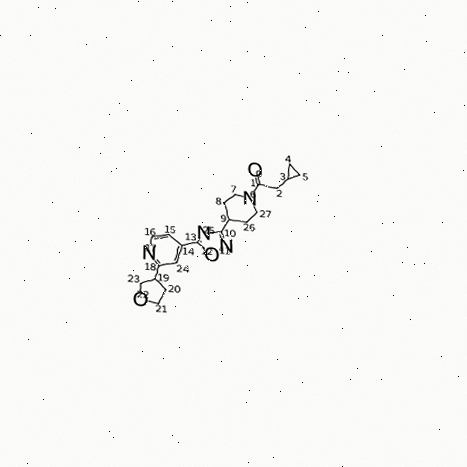 O=C(CC1CC1)N1CCC(c2noc(-c3ccnc(C4CCOC4)c3)n2)CC1